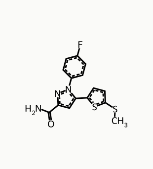 CSc1ccc(-c2cc(C(N)=O)nn2-c2ccc(F)cc2)s1